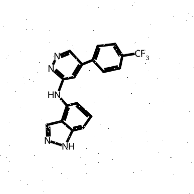 FC(F)(F)c1ccc(-c2cnnc(Nc3cccc4[nH]ncc34)c2)cc1